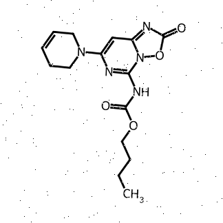 CCCCOC(=O)Nc1nc(N2CC=CCC2)cc2nc(=O)on12